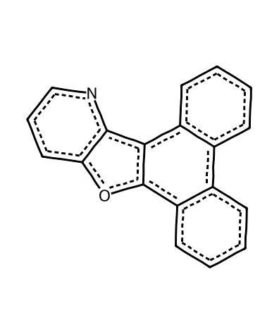 c1cnc2c(c1)oc1c3ccccc3c3ccccc3c21